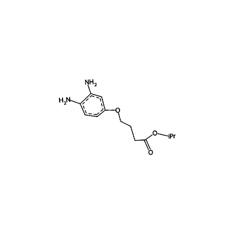 CC(C)OC(=O)CCCOc1ccc(N)c(N)c1